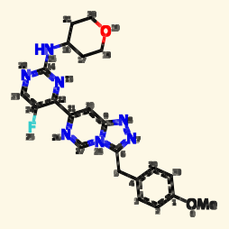 COc1ccc(Cc2nnc3cc(-c4nc(NC5CCOCC5)ncc4F)ncn23)cc1